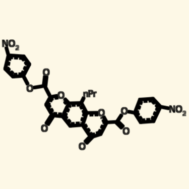 CCCc1c2oc(C(=O)Oc3ccc([N+](=O)[O-])cc3)cc(=O)c2cc2c(=O)cc(C(=O)Oc3ccc([N+](=O)[O-])cc3)oc12